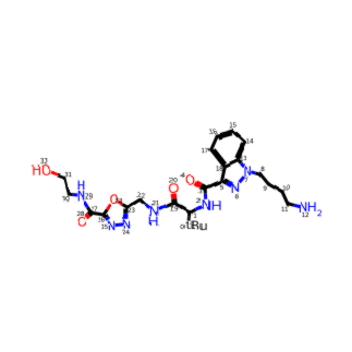 CC(C)(C)C(NC(=O)c1nn(CCCCN)c2ccccc12)C(=O)NCc1nnc(C(=O)NCCO)o1